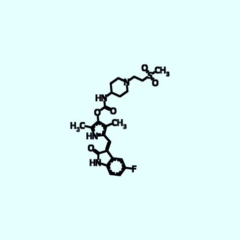 Cc1[nH]c(/C=C2\C(=O)Nc3ccc(F)cc32)c(C)c1OC(=O)NC1CCN(CCS(C)(=O)=O)CC1